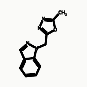 Cc1nnc(Cn2ncc3ccccc32)o1